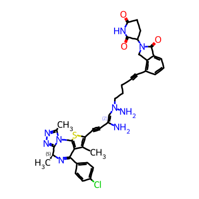 Cc1c(C#C/C(N)=C/N(N)CCCC#Cc2cccc3c2CN(C2CCC(=O)NC2=O)C3=O)sc2c1C(c1ccc(Cl)cc1)=N[C@@H](C)c1nnc(C)n1-2